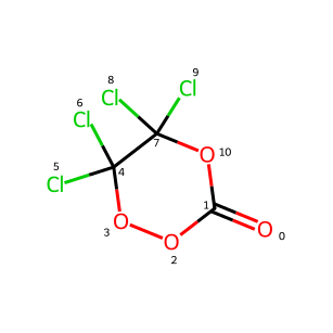 O=C1OOC(Cl)(Cl)C(Cl)(Cl)O1